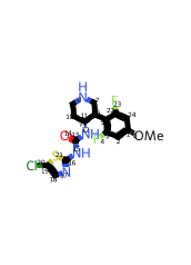 COc1cc(F)c(C2CNCC[C@H]2NC(=O)Nc2ncc(Cl)s2)c(F)c1